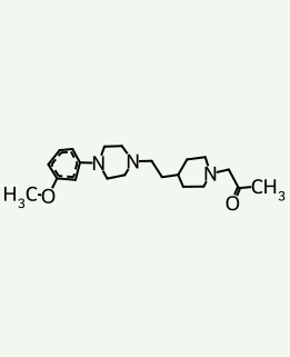 COc1cccc(N2CCN(CCC3CCN(CC(C)=O)CC3)CC2)c1